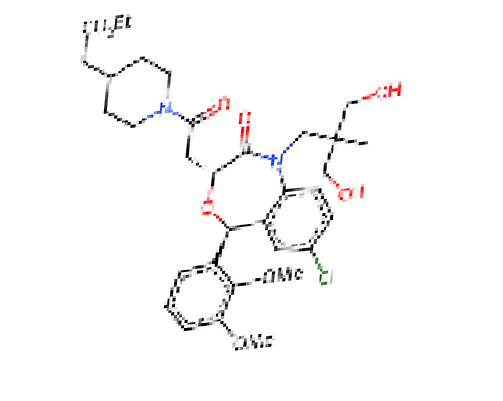 CCOC(=O)CC1CCN(C(=O)C[C@H]2O[C@H](c3cccc(OC)c3OC)c3cc(Cl)ccc3N(CC(C)(CO)CO)C2=O)CC1